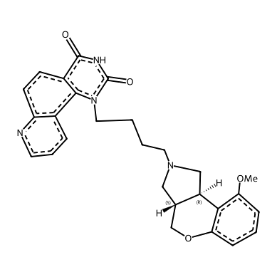 COc1cccc2c1[C@@H]1CN(CCCCn3c(=O)[nH]c(=O)c4ccc5ncccc5c43)C[C@H]1CO2